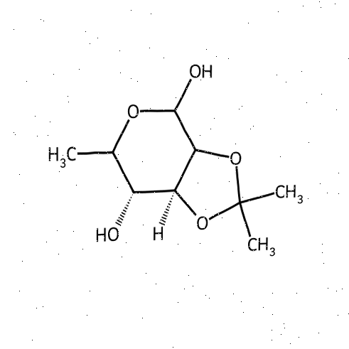 CC1OC(O)C2OC(C)(C)O[C@H]2[C@@H]1O